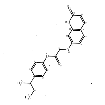 CCC(C)c1ccc(OC(=O)COc2ccc3ccc(=O)oc3c2)cc1